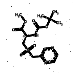 COC(=O)[C@H](CS(=O)(=O)Cc1cnccn1)NC(=O)OC(C)(C)C